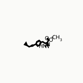 CCOC(=O)c1nn[nH]c1Cc1ccc(C#CCC2CC2)cc1